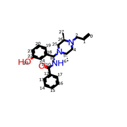 C=CCN1C[C@H](C)N([C@@H](NC(=O)c2ccccc2)c2cccc(O)c2)C[C@H]1C